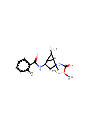 CCOC(=O)C1C2C(NC(=O)c3ccccc3C(F)(F)F)CC(NC(=O)OC(C)(C)C)(C(=O)OCC)C12